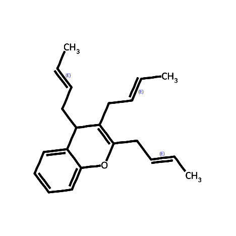 C/C=C/CC1=C(C/C=C/C)C(C/C=C/C)c2ccccc2O1